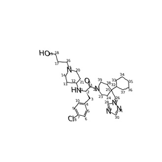 O=C([C@@H](Cc1ccc(Cl)cc1)NC1CCN(CCCO)CC1)N1CCC(Cn2cncn2)(C2CCCCC2)CC1